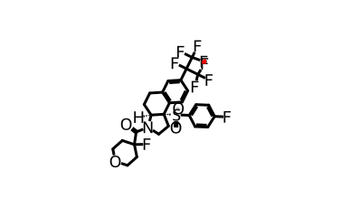 O=C(N1CC[C@]2(S(=O)(=O)c3ccc(F)cc3)c3ccc(C(F)(C(F)(F)F)C(F)(F)F)cc3CC[C@H]12)C1(F)CCOCC1